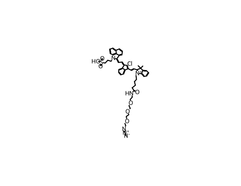 CC1(C)C(/C=C/C2=C(Cl)C(=C/C=c3\c4cccc5cccc(c54)n3CCCS(=O)(=O)O)/c3ccccc32)=[N+](CCCCCC(=O)NCCOCCOCCOCCN=[N+]=[N-])c2ccccc21